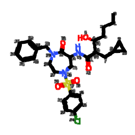 CCCC[C@H](O)[C@@H](CC1CC1)C(=O)NC1CN(S(=O)(=O)c2ccc(Cl)cc2)CCN(Cc2ccccc2)C1=O